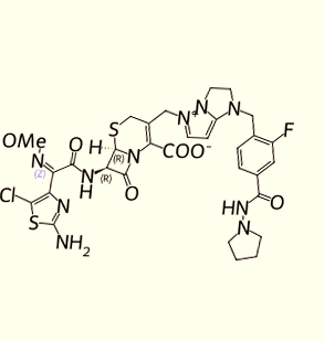 CO/N=C(\C(=O)N[C@@H]1C(=O)N2C(C(=O)[O-])=C(C[n+]3ccc4n3CCN4Cc3ccc(C(=O)NN4CCCC4)cc3F)CS[C@H]12)c1nc(N)sc1Cl